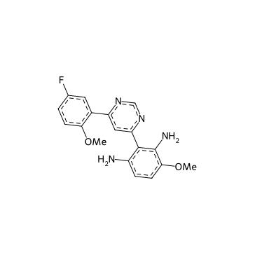 COc1ccc(F)cc1-c1cc(-c2c(N)ccc(OC)c2N)ncn1